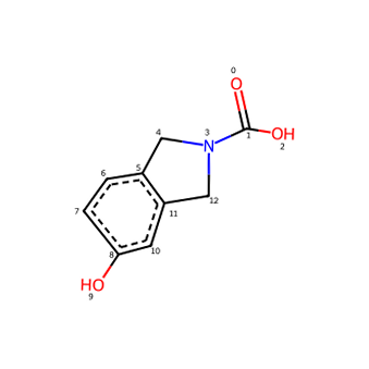 O=C(O)N1Cc2ccc(O)cc2C1